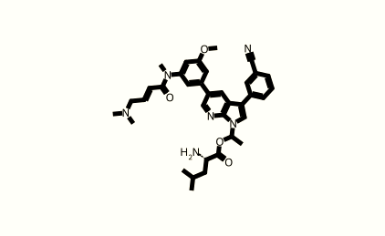 COc1cc(-c2cnc3c(c2)c(-c2cccc(C#N)c2)cn3C(C)OC(=O)[C@@H](N)CC(C)C)cc(N(C)C(=O)/C=C/CN(C)C)c1